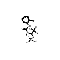 CN(C(=O)Nc1ccccc1F)C(SP(=O)(O)O)C(Cl)(Cl)Br